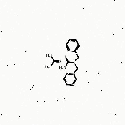 NC(=S)N(Cc1ccccc1)Cc1ccccc1.NC(N)=S